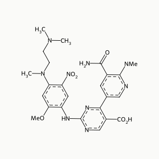 CNc1ncc(-c2nc(Nc3cc([N+](=O)[O-])c(N(C)CCN(C)C)cc3OC)ncc2C(=O)O)cc1C(N)=O